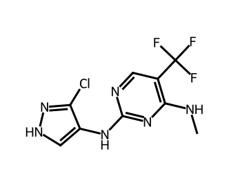 CNc1nc(Nc2c[nH]nc2Cl)ncc1C(F)(F)F